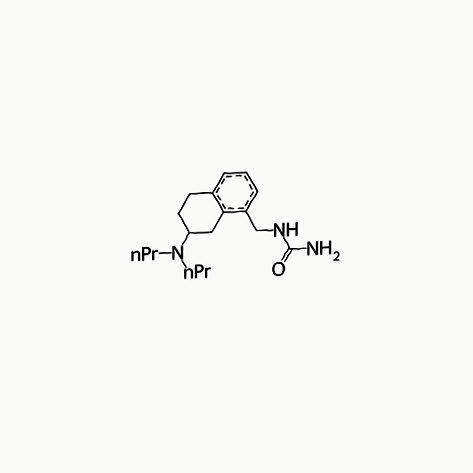 CCCN(CCC)C1CCc2cccc(CNC(N)=O)c2C1